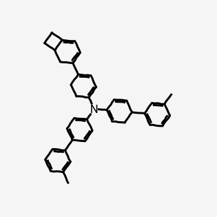 Cc1cccc(-c2ccc(N(C3=CCC(c4cccc(C)c4)C=C3)C3=CC=C(C4=CC=C5CCC5C4)CC3)cc2)c1